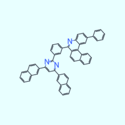 c1ccc(-c2ccc3nc(-c4cccc(-c5nc(-c6ccc7ccccc7c6)cc(-c6ccc7ccccc7c6)n5)c4)c4ccc5ccccc5c4c3c2)cc1